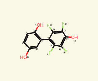 Oc1ccc(O)c(-c2c(F)c(F)c(O)c(F)c2F)c1